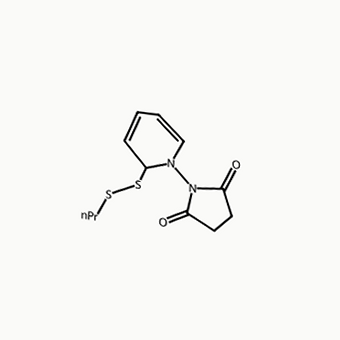 CCCSSC1C=CC=CN1N1C(=O)CCC1=O